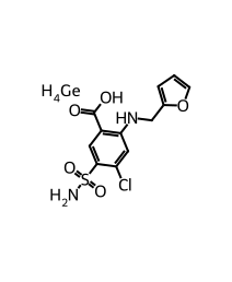 NS(=O)(=O)c1cc(C(=O)O)c(NCc2ccco2)cc1Cl.[GeH4]